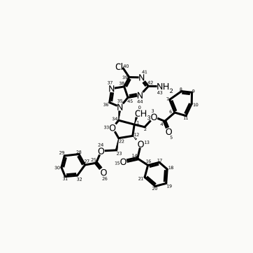 C[C@@]1(COC(=O)c2ccccc2)[C@H](OC(=O)c2ccccc2)[C@@H](COC(=O)c2ccccc2)O[C@H]1n1cnc2c(Cl)nc(N)nc21